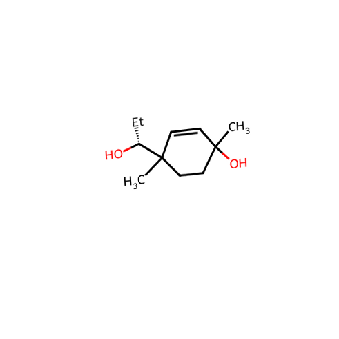 CC[C@@H](O)C1(C)C=CC(C)(O)CC1